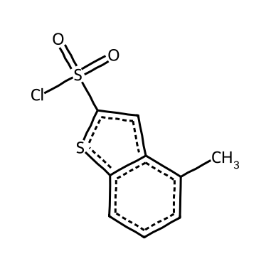 Cc1cccc2sc(S(=O)(=O)Cl)cc12